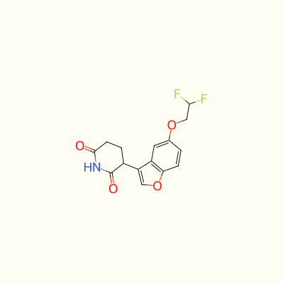 O=C1CCC(c2coc3ccc(OCC(F)F)cc23)C(=O)N1